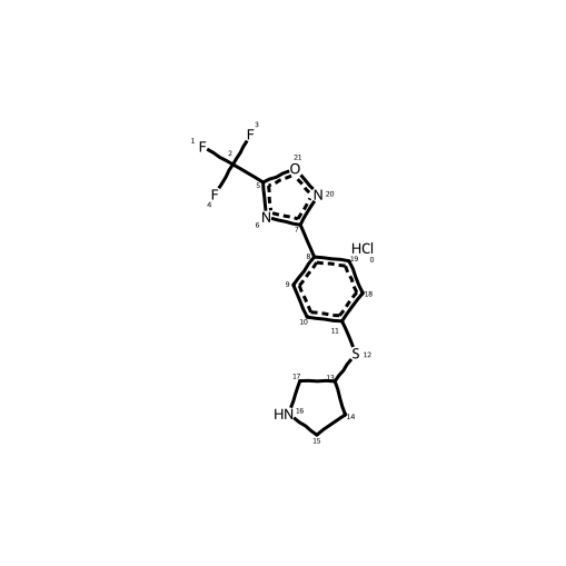 Cl.FC(F)(F)c1nc(-c2ccc(SC3CCNC3)cc2)no1